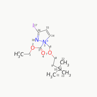 CCOC(=O)[N+]1(COCC[Si](C)(C)C)C=CC(I)=N1